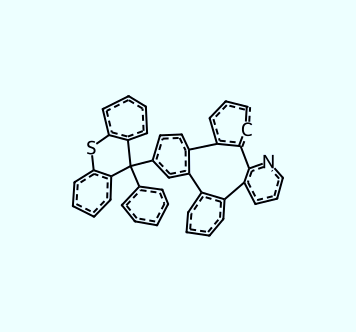 c1ccc(C2(c3ccc4c(c3)-c3ccccc3-c3cccnc3-c3ccccc3-4)c3ccccc3Sc3ccccc32)cc1